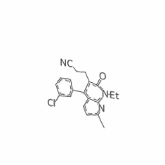 CCn1c(=O)c(CCC#N)c(-c2cccc(Cl)c2)c2ccc(C)nc21